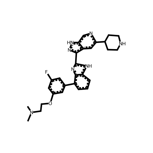 CN(C)CCOc1cc(F)cc(-c2cccc3[nH]c(-c4n[nH]c5cnc(C6CCNCC6)cc45)nc23)c1